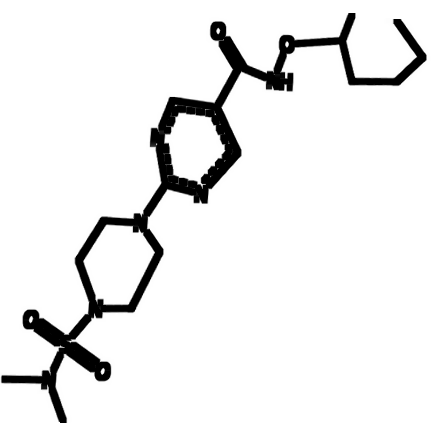 CN(C)S(=O)(=O)N1CCN(c2ncc(C(=O)NOC3CCCCO3)cn2)CC1